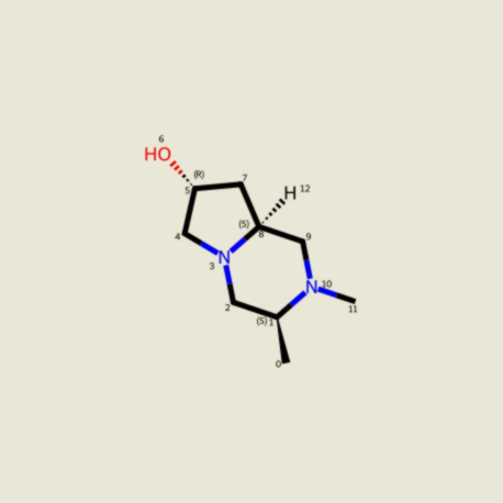 C[C@H]1CN2C[C@H](O)C[C@H]2CN1C